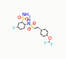 NS(=O)(=O)c1cc(F)ccc1NS(=O)(=O)/C=C/c1ccc(OC(F)F)cc1